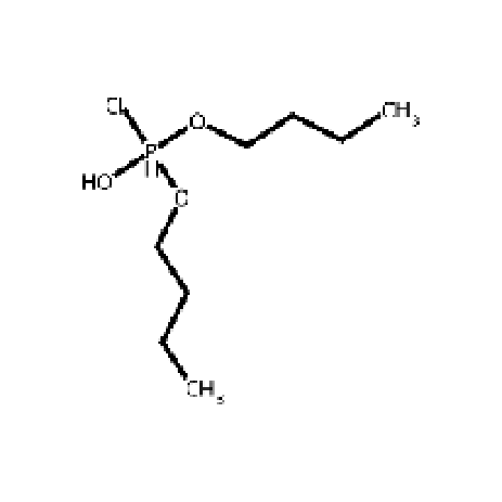 CCCCO[PH](O)(Cl)OCCCC